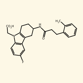 Cc1ccccc1CCC(=O)NC1CCc2c(c3cc(F)ccc3n2CC(=O)O)C1